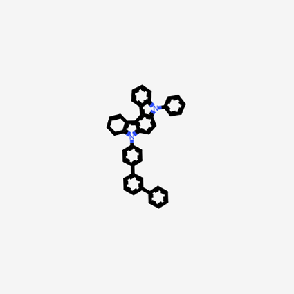 C1=Cc2c(n(-c3ccc(-c4cccc(-c5ccccc5)c4)cc3)c3ccc4c(c5ccccc5n4-c4ccccc4)c23)CC1